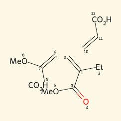 C=C(CC)C(=O)OC.C=C(OC)C(=O)O.C=CC(=O)O